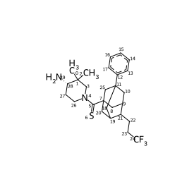 CC1(C)CN(C(=S)C23CC4CC(c5ccccc5)(CC(C2)C4CCC(F)(F)F)C3)CC[C@@H]1N